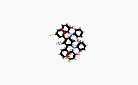 CC(C)(C)c1c(-c2cccc(F)c2)c(N2c3ccccc3Oc3ccccc32)c(C(C)(C)C)c(N2c3ccccc3Oc3ccccc32)c1-c1cccc(F)c1